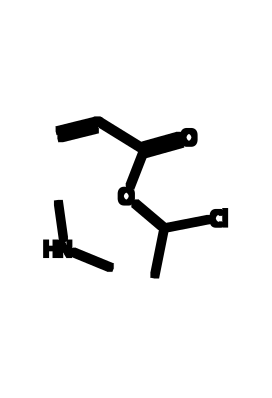 C=CC(=O)OC(C)Cl.CNC